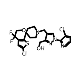 OCc1nn(-c2ncccc2Cl)cc1CN1CCC2(CC1)OCC(F)(F)c1cc(Cl)sc12